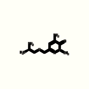 C[C@@H](N)COCc1cc(N)c(=O)n(C)n1